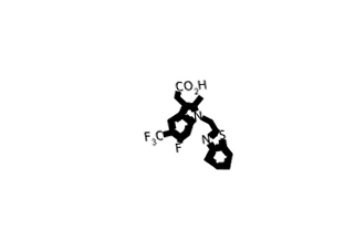 Cc1c(CC(=O)O)c2cc(C(F)(F)F)c(F)cc2n1Cc1nc2ccccc2s1